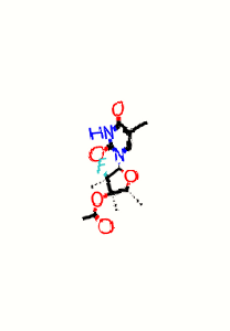 CC(=O)O[C@]1(C)[C@@H](C)O[C@@H](n2cc(C)c(=O)[nH]c2=O)[C@]1(C)F